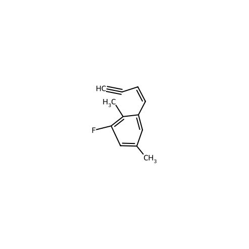 C#C/C=C\c1cc(C)cc(F)c1C